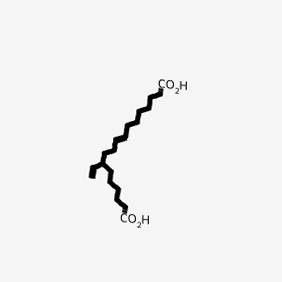 C=CC(CCC=CCCCCCCC(=O)O)CCCCCC(=O)O